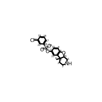 CC12CCNCC1Oc1ccc(OS(=O)(=O)c3cccc(Cl)c3)cc12